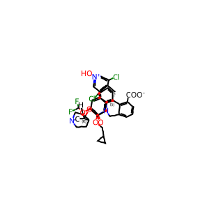 O=C([O-])c1cccc(CN(C(=O)O[C@H]2CN3CCC2CC3)c2ccccc2)c1[C@@H](Cc1c(Cl)c[n+](O)cc1Cl)c1ccc(OC(F)F)c(OCC2CC2)c1